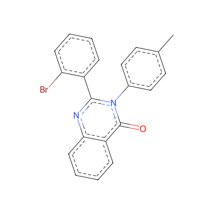 Cc1ccc(-n2c(-c3ccccc3Br)nc3ccccc3c2=O)cc1